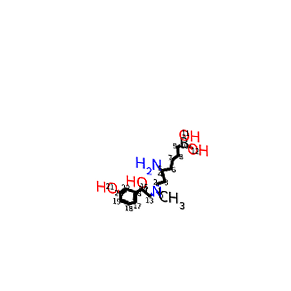 CN(CCC(N)CCCCB(O)O)C[C@@H](O)c1cccc(O)c1